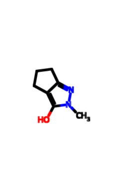 Cn1nc2c(c1O)CCC2